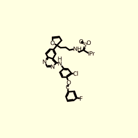 CC(C)C(CNCCCC1(c2ccc3ncnc(Nc4ccc(OCc5cccc(F)c5)c(Cl)c4)c3c2)CC=CO1)=S(=O)=O